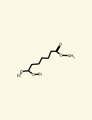 CCOC(CCCCCC(=O)O[SiH3])OCC